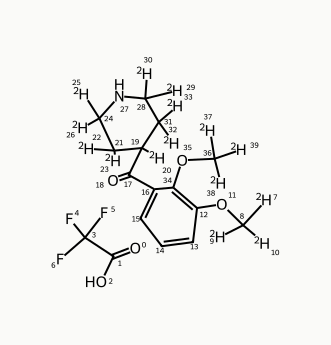 O=C(O)C(F)(F)F.[2H]C([2H])([2H])Oc1cccc(C(=O)C2([2H])C([2H])([2H])C([2H])([2H])NC([2H])([2H])C2([2H])[2H])c1OC([2H])([2H])[2H]